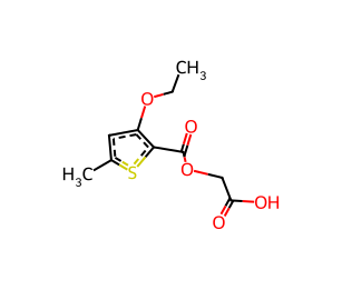 CCOc1cc(C)sc1C(=O)OCC(=O)O